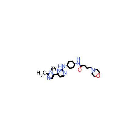 Cc1ncc(-c2ccnc(N[C@H]3CC[C@H](NC(=O)CCCN4CCOCC4)CC3)n2)n1C(C)C